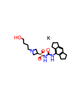 O=C(Nc1c2c(cc3c1CCC3)CCC2)NS(=O)(=O)C1CN(CCCCO)C1.[K]